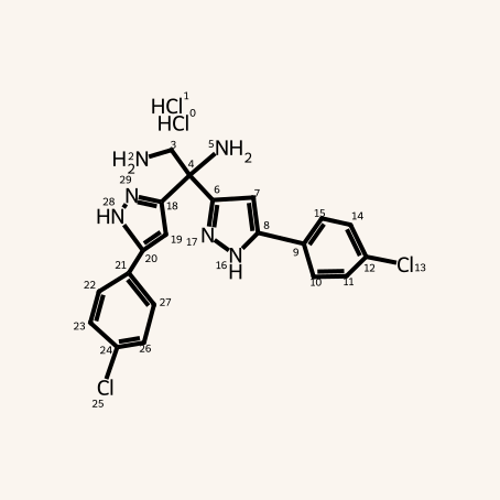 Cl.Cl.NCC(N)(c1cc(-c2ccc(Cl)cc2)[nH]n1)c1cc(-c2ccc(Cl)cc2)[nH]n1